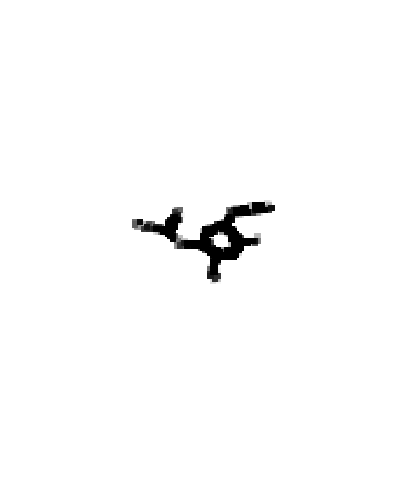 COC(=O)Oc1cc(N=C=O)c(F)cc1Br